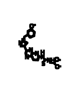 COc1cccc(Cn2cc(-c3cnc4ccc(NC(=S)NCC(OC)OC)nc4n3)cn2)c1